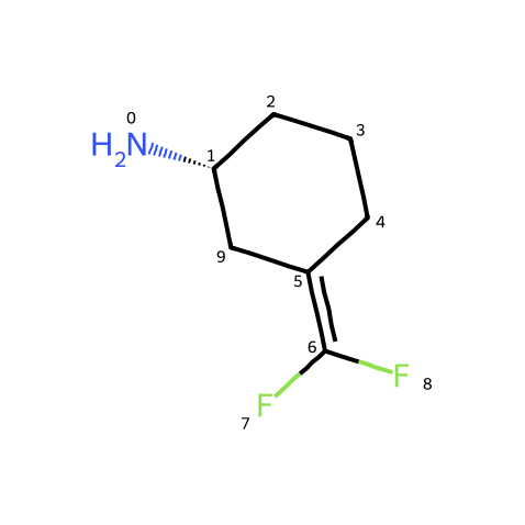 N[C@@H]1CCCC(=C(F)F)C1